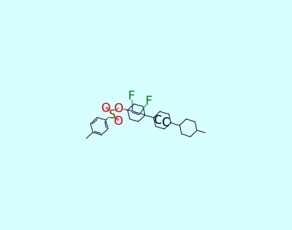 Cc1ccc(S(=O)(=O)OC23CCC(C45CCC(C6CCC(C)CC6)(CC4)CC5)(CC2)C(F)=C3F)cc1